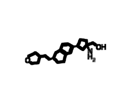 N[C@]1(CO)CC[C@H](c2ccc3c(c2)CC[C@@H](CCC2CCOCC2)C3)C1